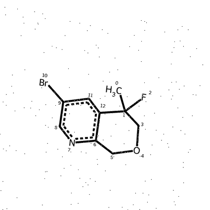 CC1(F)COCc2ncc(Br)cc21